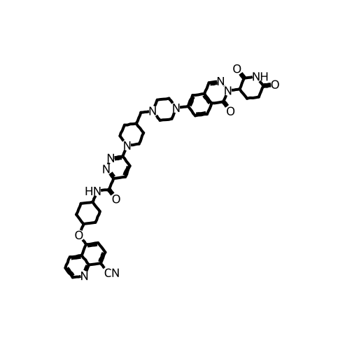 N#Cc1ccc(OC2CCC(NC(=O)c3ccc(N4CCC(CN5CCN(c6ccc7c(=O)n(C8CCC(=O)NC8=O)ncc7c6)CC5)CC4)nn3)CC2)c2cccnc12